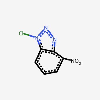 O=[N+]([O-])c1cccc2c1nnn2Cl